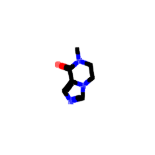 CN1CCn2cncc2C1=O